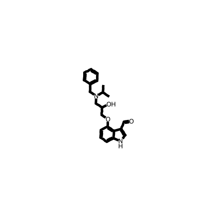 CC(C)N(Cc1ccccc1)CC(O)COc1cccc2[nH]cc(C=O)c12